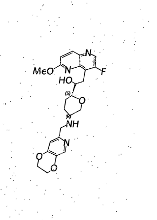 COc1ccc2ncc(F)c(CC(O)[C@@H]3CC[C@@H](NCc4cc5c(cn4)OCCO5)CO3)c2n1